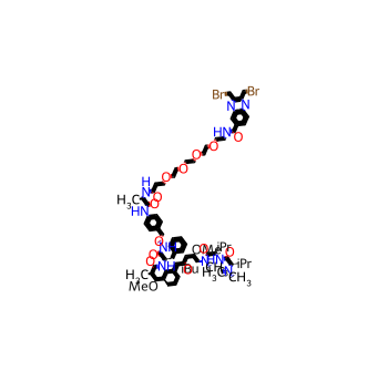 CC[C@H](C)[C@@H]([C@@H](CC(=O)/C=C1\CCC[C@@H]([C@H](OC)[C@@H](C)C(=O)N[C@@H](Cc2ccccc2)C(=O)NOCc2ccc(NC(=O)[C@@H](C)NC(=O)CCOCCOCCOCCOCCNC(=O)c3ccc4nc(CBr)c(CBr)nc4c3)cc2)C1)OC)N(C)C(=O)[C@@H](NC(=O)[C@H](C(C)C)N(C)C)C(C)C